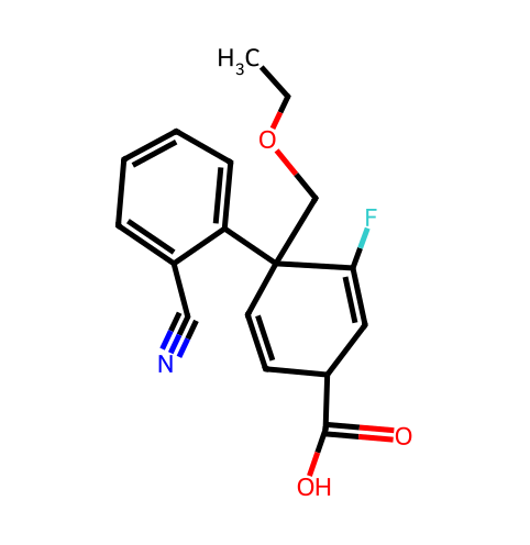 CCOCC1(c2ccccc2C#N)C=CC(C(=O)O)C=C1F